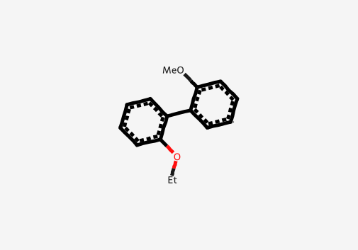 CCOc1ccccc1-c1c[c]ccc1OC